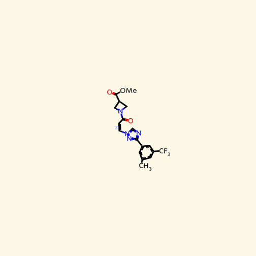 COC(=O)C1CN(C(=O)/C=C\n2cnc(-c3cc(C)cc(C(F)(F)F)c3)n2)C1